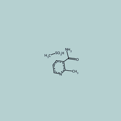 CS(=O)(=O)O.Cc1ncccc1C(N)=O